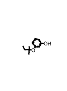 CCC(C)(C)Oc1cccc(O)c1